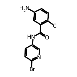 Nc1ccc(Cl)c(C(=O)Nc2ccc(Br)nc2)c1